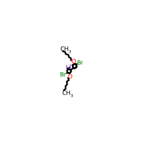 CCCCCCCCOC1=C(Br)CC(I)(I)C(c2ccc(Br)c(OCCCCCCCC)c2)=C1